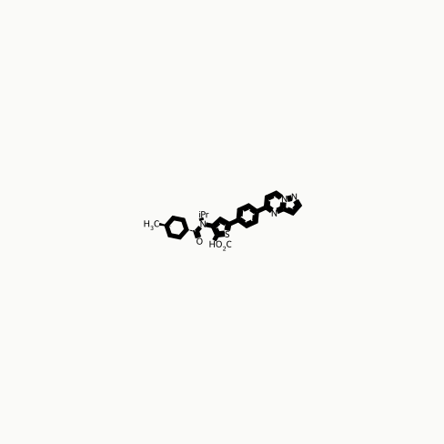 CC(C)N(c1cc(-c2ccc(-c3ccn4nccc4n3)cc2)sc1C(=O)O)C(=O)[C@H]1CC[C@H](C)CC1